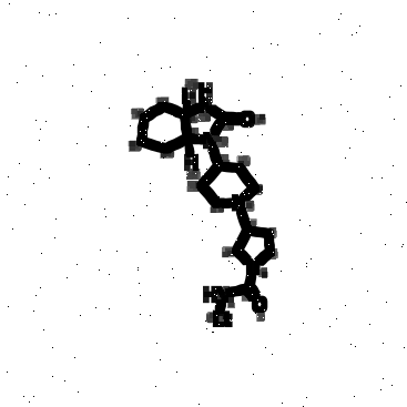 CCNC(=O)N1CCC(N2CCC(N3C(=O)N[C@@H]4CCCC[C@H]43)CC2)C1